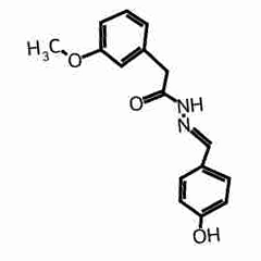 COc1cccc(CC(=O)N/N=C/c2ccc(O)cc2)c1